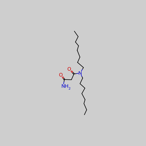 CCCCCCCCN(CCCCCCCC)C(=O)CC(N)=O